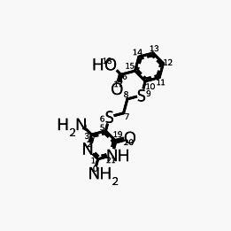 Nc1nc(N)c(SCCSc2ccccc2C(=O)O)c(=O)[nH]1